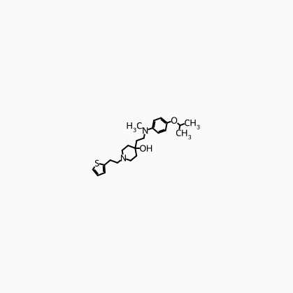 CC(C)Oc1ccc(N(C)CCC2(O)CCN(CCc3cccs3)CC2)cc1